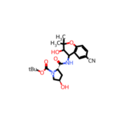 CC(C)(C)OC(=O)N1C[C@H](O)C[C@H]1C(=O)NC1c2cc(C#N)ccc2OC(C)(C)C1O